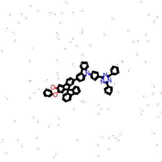 c1ccc(-c2nc(-c3ccccc3)nc(-c3ccc(-n4c5ccccc5c5cc(-c6ccc7c(c6)C6(c8ccccc8-c8ccccc86)c6cc8c(cc6-7)Oc6ccccc6O8)ccc54)cc3)n2)cc1